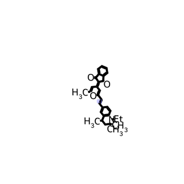 CCN1c2ccc(/C=C/C3=CC(=C4C(=O)c5ccccc5C4=O)C=C(C)O3)cc2C(C)CC1(C)C